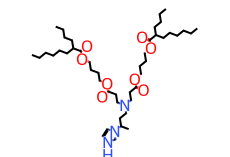 CCCCCCC(CCCC)C(=O)OCCCCOC(=O)CCN(CCC(=O)OCCCCOC(=O)C(CCCC)CCCCCC)CCC(C)N1C=CNC1